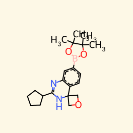 CC1(C)OB(c2ccc3c(c2)N=C(C2CCCC2)NC32COC2)OC1(C)C